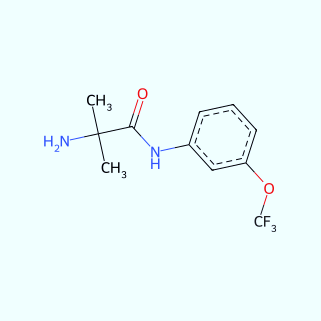 CC(C)(N)C(=O)Nc1cccc(OC(F)(F)F)c1